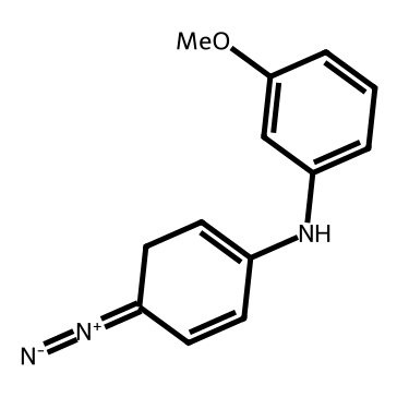 COc1cccc(NC2=CCC(=[N+]=[N-])C=C2)c1